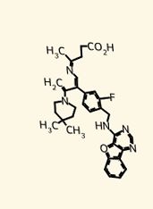 C=C(/C(=C\N=C(\C)CCC(=O)O)c1ccc(CNc2ncnc3c2oc2ccccc23)c(F)c1)N1CCC(C)(C)CC1